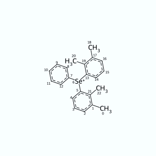 Cc1cccc([Se+](c2ccccc2)c2cccc(C)c2C)c1C